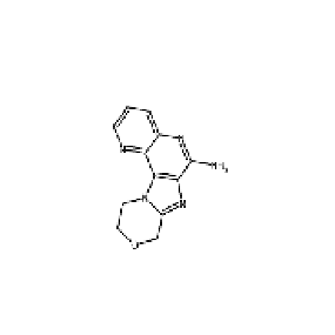 Nc1nc2cccnc2c2c1nc1n2CCOC1